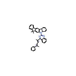 C/C(=C\C=C(/C)c1nc(N2c3cc4c(cc3C3C=CC=CC32)-c2ccccc2C4(C)C)nc2ccccc12)c1ccccc1